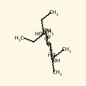 CCCCCCCC/C=C\CCCCCC[C@@H](O)CN(C[C@H](O)CCCCCC/C=C\CCCCCCCC)C(C)CCC(=O)OCCN1CCN(CCSSCCCCN(CC(O)CCCCCCCC)CC(O)CCCCCCCC)CC1